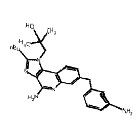 CCCCc1nc2c(N)nc3cc(Cc4cccc(N)c4)ccc3c2n1CC(C)(C)O